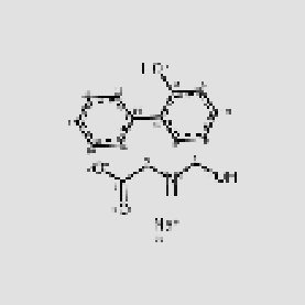 O=C([O-])CNCO.Oc1ccccc1-c1ccccc1.[Na+]